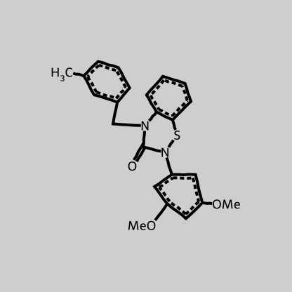 COc1cc(OC)cc(N2Sc3ccccc3N(Cc3cccc(C)c3)C2=O)c1